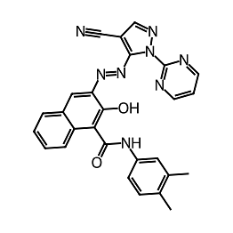 Cc1ccc(NC(=O)c2c(O)c(/N=N/c3c(C#N)cnn3-c3ncccn3)cc3ccccc23)cc1C